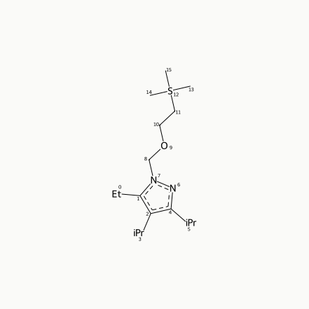 CCc1c(C(C)C)c(C(C)C)nn1COCCS(C)(C)C